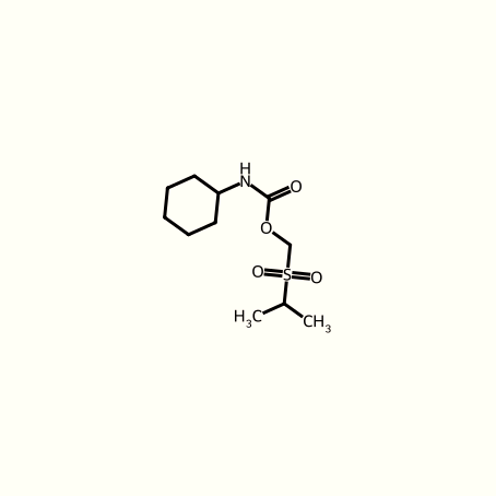 CC(C)S(=O)(=O)COC(=O)NC1CCCCC1